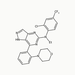 CCN(c1nc(-c2ccccc2N2CCOCC2)c2[nH]ncc2n1)c1ccc(C(F)(F)F)cc1Cl